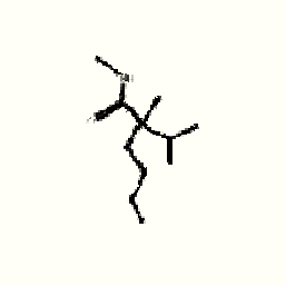 CCCCC(C)(C(=O)NC)C(C)C